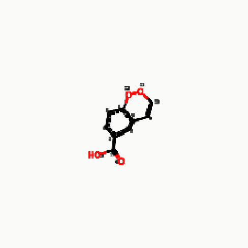 O=C(O)c1ccc2c(c1)C=COO2